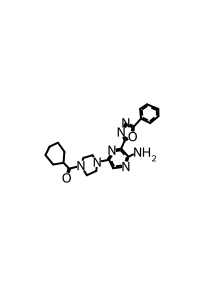 Nc1ncc(N2CCN(C(=O)C3CCCCC3)CC2)nc1-c1nnc(-c2ccccc2)o1